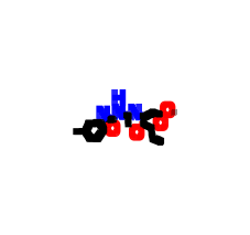 C=CCC(=O)C(=C\C(=O)OC)/N=C(\C)Nc1nc2cc(C)ccc2o1